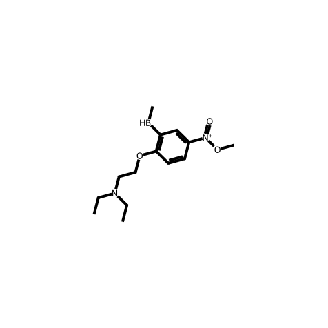 CBc1cc([N+](=O)OC)ccc1OCCN(CC)CC